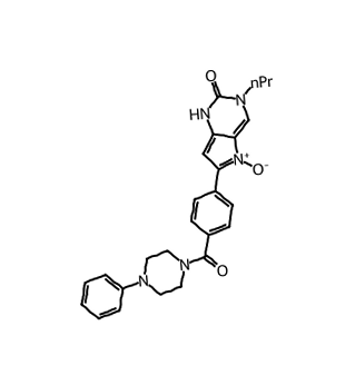 CCCn1cc2[n+]([O-])c(-c3ccc(C(=O)N4CCN(c5ccccc5)CC4)cc3)cc-2[nH]c1=O